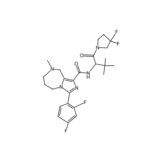 CN1CCCn2c(-c3ccc(F)cc3F)nc(C(=O)NC(C(=O)N3CCC(F)(F)C3)C(C)(C)C)c2C1